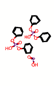 O=P(O)(Oc1ccccc1)Oc1ccccc1.O=P(O)(Oc1ccccc1)Oc1ccccc1.O=PO